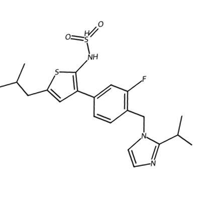 CC(C)Cc1cc(-c2ccc(Cn3ccnc3C(C)C)c(F)c2)c(N[SH](=O)=O)s1